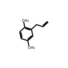 C=CCc1cc(OC(C)=O)ccc1OC(C)=O